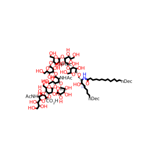 CCCCCCCCCCCCC/C=C/[C@@H](O)[C@H](CO[C@@H]1OC(CO)[C@@H](O[C@@H]2OC(CO)[C@H](O)[C@H](O[C@@H]3OC(CO)[C@@H](O[C@@H]4OC(CO)[C@H](O)[C@H](O[C@@H]5OC(CO)[C@@H](O[C@@H]6OC(CO)[C@H](O)[C@H](O[C@]7(C(=O)O)CC(O)[C@@H](NC(C)=O)C([C@H](O)[C@H](O)CO)O7)C6O)[C@H](O[C@H]6OC(C)[C@@H](O)C(O)[C@@H]6O)C5NC(C)=O)C4O)[C@H](O)C3NC(C)=O)C2O)[C@H](O)C1O)NC(=O)CCCCCCCCCCCCCCCCCCCCC